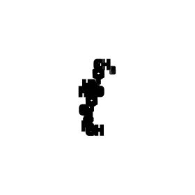 Cc1ccc(CNC(=O)Nc2ccc(CC(=O)N3CC(F)(CO)C3)cc2)cc1